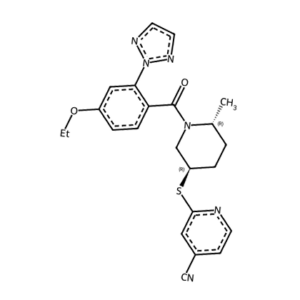 CCOc1ccc(C(=O)N2C[C@H](Sc3cc(C#N)ccn3)CC[C@H]2C)c(-n2nccn2)c1